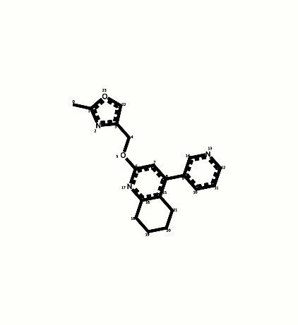 Cc1nc(COc2cc(-c3cccnc3)c3c(n2)CCCC3)co1